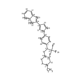 CN1CCN(CC(c2ccc(-n3cc(-c4nc5cccnc5[nH]4)cn3)nc2)C(F)(F)F)CC1